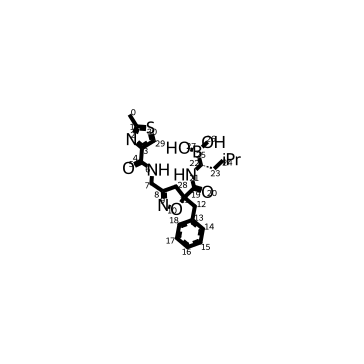 Cc1nc(C(=O)NCC2=NOC(Cc3ccccc3)(C(=O)N[C@@H](CC(C)C)B(O)O)C2)cs1